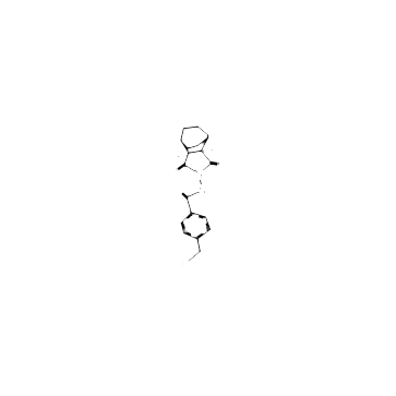 O=C(NN1C(=O)[C@@H]2C3CCC(CC3)[C@@H]2C1=O)c1ccc(CF)cc1